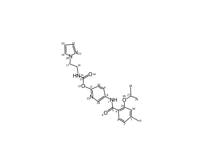 Cc1ccc(C(=O)Nc2ccc(OC(=O)NCCn3cccn3)nc2)c(OC(C)C)c1